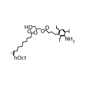 CCCCCCCC/C=C\CCCCCCCC(=O)OC(CO)COC(=O)CCCc1c(I)cc(I)c(N)c1I